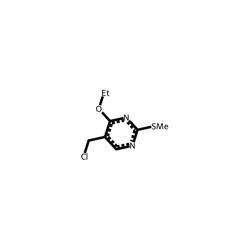 CCOc1nc(SC)ncc1CCl